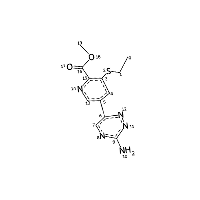 CCSc1cc(-c2cnc(N)nn2)cnc1C(=O)OC